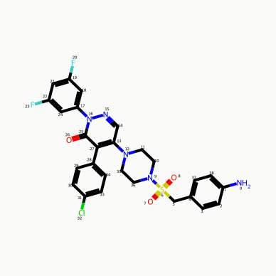 Nc1ccc(CS(=O)(=O)N2CCN(c3cnn(-c4cc(F)cc(F)c4)c(=O)c3-c3ccc(Cl)cc3)CC2)cc1